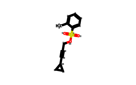 Cc1ccccc1S(=O)(=O)OCC#CC1CC1